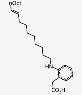 CCCCCCCCC=CCCCCCCCCNc1ccccc1CC(=O)O